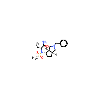 CC(C)C[C@@H](C(N)=O)N([C@H]1CC[C@@H]2CN(Cc3ccccc3)C[C@@H]21)S(C)(=O)=O